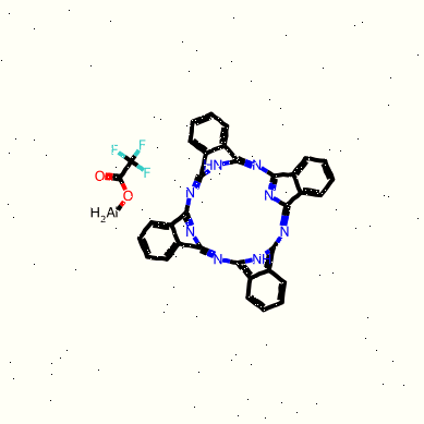 O=C([O][AlH2])C(F)(F)F.c1ccc2c(c1)-c1nc-2nc2[nH]c(nc3nc(nc4[nH]c(n1)c1ccccc41)-c1ccccc1-3)c1ccccc21